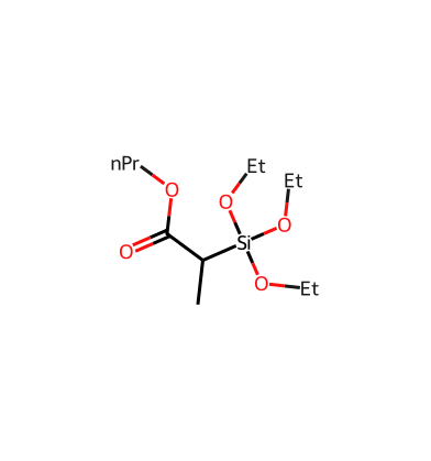 CCCOC(=O)C(C)[Si](OCC)(OCC)OCC